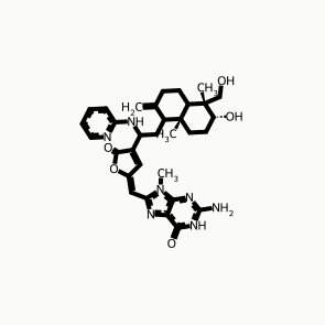 C=C1CCC2[C@](C)(CC[C@@H](O)[C@@]2(C)CO)C1CC(Nc1ccccn1)C1=C/C(=C\c2nc3c(=O)[nH]c(N)nc3n2C)OC1=O